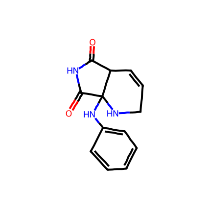 O=C1NC(=O)C2(Nc3ccccc3)NCC=CC12